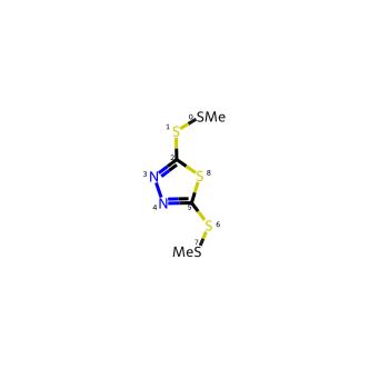 CSSc1nnc(SSC)s1